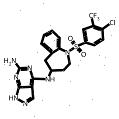 Nc1nc(NC2CCN(S(=O)(=O)c3ccc(Cl)c(C(F)(F)F)c3)c3ccccc3C2)c2cn[nH]c2n1